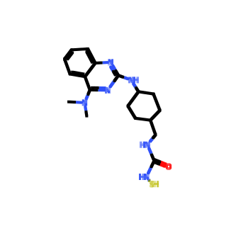 CN(C)c1nc(NC2CCC(CNC(=O)NS)CC2)nc2ccccc12